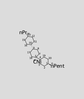 CCCCC[C@H]1CC=C([C@]2(C#N)CC[C@@H](C3CCC(CCC)CC3)CC2)CC1